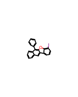 Ic1cccc2c1oc1c(-c3ccccc3)c3ccccc3cc12